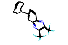 FC(F)(F)c1nc2ccc(-c3ccccc3)cc2nc1C(F)(F)F